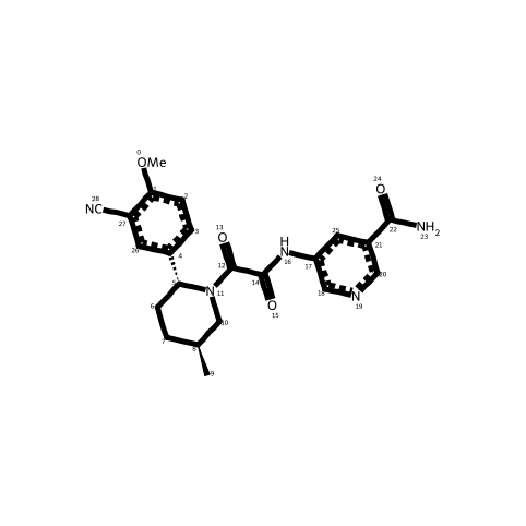 COc1ccc([C@H]2CC[C@H](C)CN2C(=O)C(=O)Nc2cncc(C(N)=O)c2)cc1C#N